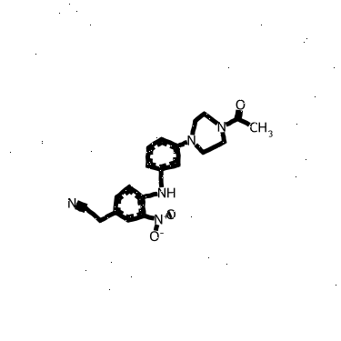 CC(=O)N1CCN(c2cccc(Nc3ccc(CC#N)cc3[N+](=O)[O-])c2)CC1